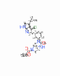 CC(C)(C)OC(=O)N1CCC2(C1)CN(c1cccc(-c3cnc4[nH]cc(C5CC5)c4c3Cl)c1)C(=O)N2